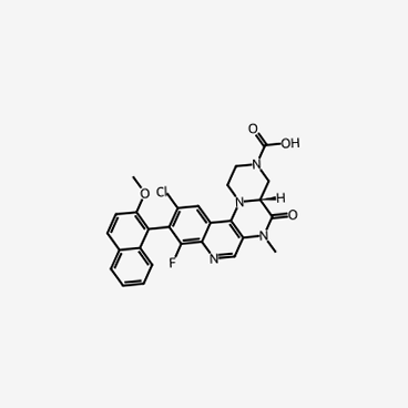 COc1ccc2ccccc2c1-c1c(Cl)cc2c3c(cnc2c1F)N(C)C(=O)[C@H]1CN(C(=O)O)CCN31